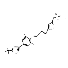 Cc1cc(-c2noc(C(F)(F)F)n2)cc(C)c1OCCCc1cc(CS(C)(=O)=O)no1